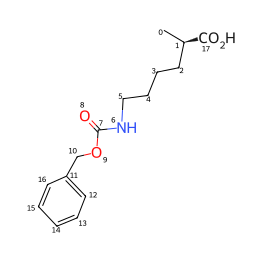 C[C@H](CCCCNC(=O)OCc1ccccc1)C(=O)O